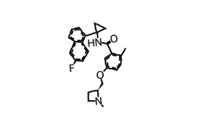 Cc1ccc(OC[C@@H]2CCN2C)cc1C(=O)NC1(c2cccc3cc(F)ccc23)CC1